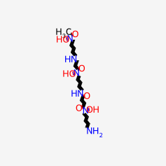 CC(=O)N(O)CCCCCNCCC(=O)N(O)CCCCCNC(=O)CCC(=O)N(O)CCCCCN